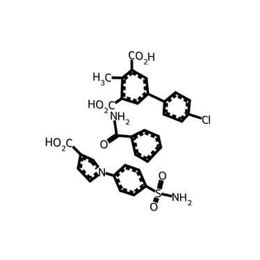 Cc1c(C(=O)O)cc(-c2ccc(Cl)cc2)cc1C(=O)O.NC(=O)c1ccccc1.NS(=O)(=O)c1ccc(-n2ccc(C(=O)O)c2)cc1